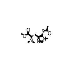 COC(=O)[C@H](Cc1ncn(C)c1SC(C)=O)N(C)C